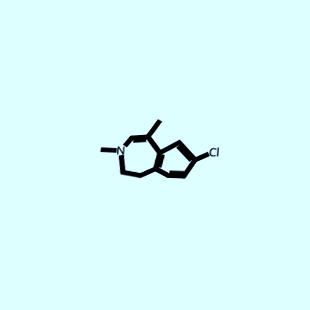 CC1=CN(C)CCc2ccc(Cl)cc21